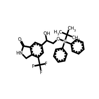 CC(C)(C)[Si](OCC(O)c1cc2c(c(C(F)(F)F)c1)CNC2=O)(c1ccccc1)c1ccccc1